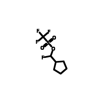 O=S(=O)(OC(F)C1CCCC1)C(F)(F)F